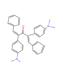 CN(C)c1ccc(C(=Cc2ccccc2)C(=O)C(=Cc2ccccc2)c2ccc(N(C)C)cc2)cc1